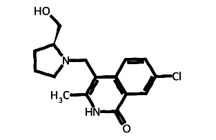 Cc1[nH]c(=O)c2cc(Cl)ccc2c1CN1CCC[C@H]1CO